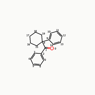 O=C(c1ccccc1)C1(c2ccccc2)CCCCC1